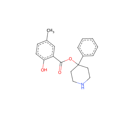 Cc1ccc(O)c(C(=O)OC2(c3ccccc3)CCNCC2)c1